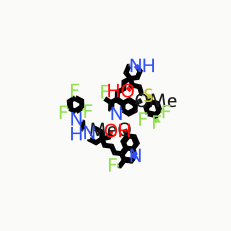 COc1ccc2ncc(CF)c(CCCC3(C(O)CCSc4cc(F)c(F)c(F)c4)CCNCC3)c2c1.COc1ccc2ncc(CF)c(CCCC3(CO)CCN(CCNc4c(F)cc(F)cc4F)CC3)c2c1